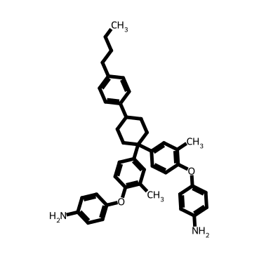 CCCCc1ccc(C2CCC(c3ccc(Oc4ccc(N)cc4)c(C)c3)(c3ccc(Oc4ccc(N)cc4)c(C)c3)CC2)cc1